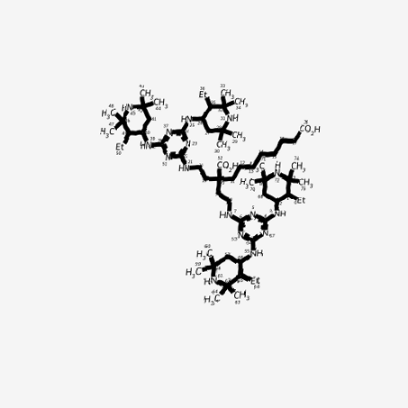 CCC1C(Nc2nc(NCCC(CCCCCCCC(=O)O)(CCNc3nc(NC4CC(C)(C)NC(C)(C)C4CC)nc(NC4CC(C)(C)NC(C)(C)C4CC)n3)C(=O)O)nc(NC3CC(C)(C)NC(C)(C)C3CC)n2)CC(C)(C)NC1(C)C